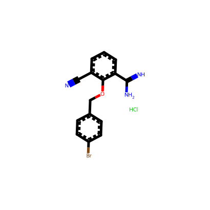 Cl.N#Cc1cccc(C(=N)N)c1OCc1ccc(Br)cc1